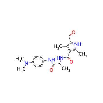 Cc1[nH]c(C=O)c(C)c1C(=O)NC(C)C(=O)Nc1ccc(N(C)C)cc1